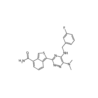 CN(C)c1nnc(-c2scc3c(C(N)=O)cccc23)nc1NCc1cccc(F)c1